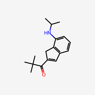 CC(C)Nc1cccc2c1CC(C(=O)C(C)(C)C)=C2